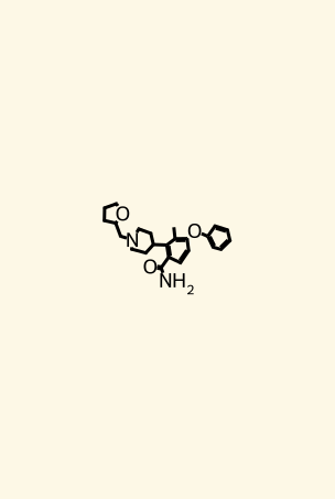 Cc1c(Oc2ccccc2)ccc(C(N)=O)c1C1CCN(CC2CCCO2)CC1